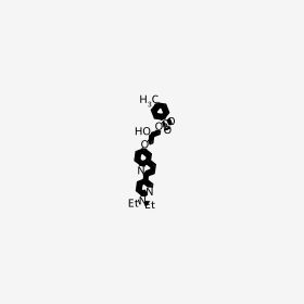 CCN(CC)c1ccc(-c2ccc3cc(OCC(O)COS(=O)(=O)c4ccc(C)cc4)ccc3n2)cn1